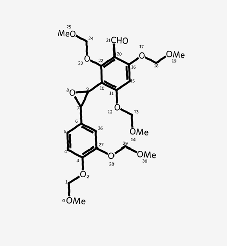 COCOc1ccc(C2OC2c2c(OCOC)cc(OCOC)c(C=O)c2OCOC)cc1OCOC